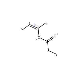 C/C=C(/C)OC(=O)CC